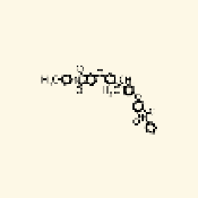 Cc1ccc(N2C(=O)c3ccc(Oc4ccc(C(C)(C)c5ccc(Oc6ccc7c(c6)C(=O)N(c6ccccc6)C7=O)cc5)cc4)cc3C2=O)cc1